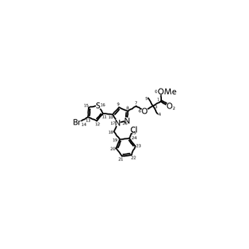 COC(=O)C(C)(C)OCc1cc(-c2cc(Br)cs2)n(Cc2ccccc2Cl)n1